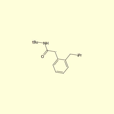 CC(C)Cc1ccccc1[CH]C(=O)NC(C)(C)C